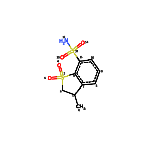 CC1CS(=O)(=O)c2c1cccc2S(N)(=O)=O